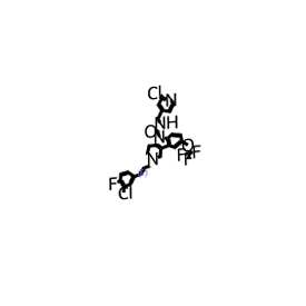 O=C(NCc1ccnc(Cl)c1)n1c2c(c3cc(OC(F)(F)F)ccc31)CN(C/C=C/c1ccc(F)c(Cl)c1)CC2